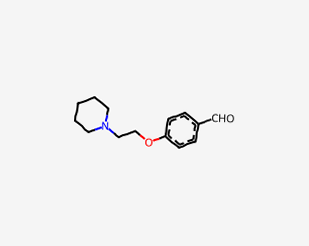 O=Cc1ccc(OCCN2CCCCC2)cc1